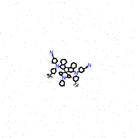 C[Si](C)(C)c1ccc(N(c2ccc(C#N)cc2)c2cc3c(c4ccccc24)-c2c(cc(N(c4ccc(C#N)cc4)c4ccc([Si](C)(C)C)cc4)c4ccccc24)C32c3ccccc3N(c3ccccc3)c3ccccc32)cc1